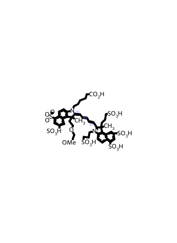 COCCOCCC1(C)\C(=C/C=C/C=C/C2=[N+](CCCS(=O)(=O)O)c3ccc4c(S(=O)(=O)O)cc(S(=O)(=O)O)cc4c3C2(C)CCCS(=O)(=O)O)N(CCCCCC(=O)O)c2ccc3c(S(=O)(=O)[O-])cc(S(=O)(=O)O)cc3c21